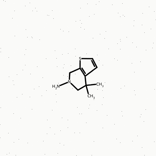 CC1(C)CN(N)Cc2sccc21